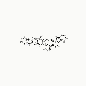 CN1CCN/C(=C\C(=N)Nc2cc(-c3ccnc(N4CCn5c(cc6c5CCCC6)C4=O)c3CO)cn(C)c2=O)C1